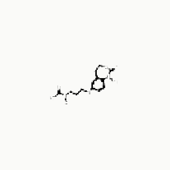 CN1C(=O)OCCc2cc(NCCCN(O)C(=O)O)ccc21